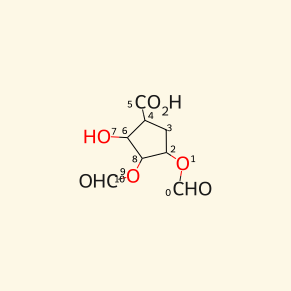 O=COC1CC(C(=O)O)C(O)C1OC=O